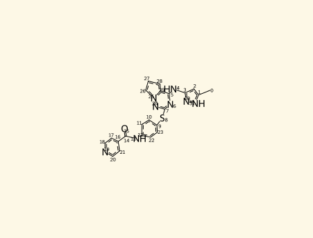 Cc1cc(Nc2nc(Sc3ccc(NC(=O)c4ccncc4)cc3)nn3cccc23)n[nH]1